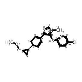 COC[C@H]1C[C@@H]1C1C=CC(c2ncn(C)c2Sc2ccc(Cl)cn2)=CC1